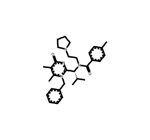 Cc1ccc(C(=O)N(CCN2CCCC2)[C@@H](c2nc(=O)c(C)c(C)n2Cc2ccccc2)C(C)C)cc1